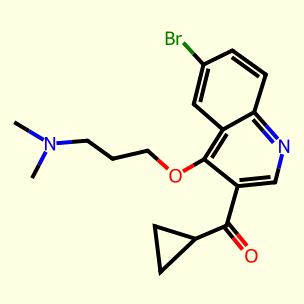 CN(C)CCCOc1c(C(=O)C2CC2)cnc2ccc(Br)cc12